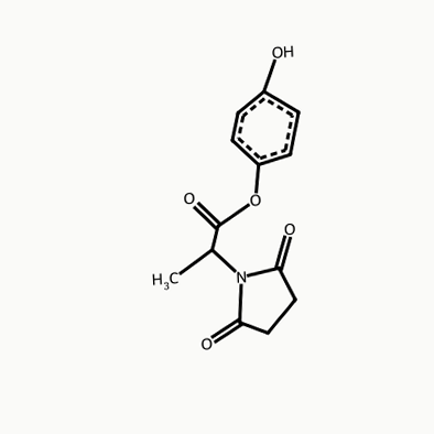 CC(C(=O)Oc1ccc(O)cc1)N1C(=O)CCC1=O